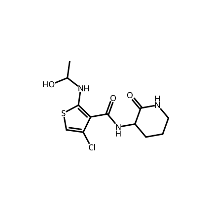 CC(O)Nc1scc(Cl)c1C(=O)NC1CCCNC1=O